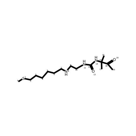 CSCCCCCCNCCNC(=O)NC(C)(C)C(C)=O